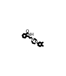 Cc1ccc(N2CCCN(CCC3NC(=O)c4ccccc43)CC2)cc1C